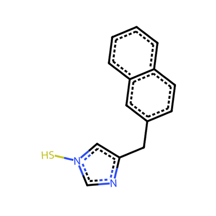 Sn1cnc(Cc2ccc3ccccc3c2)c1